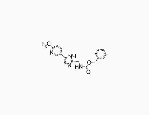 O=C(NCc1ncc(-c2ccc(C(F)(F)F)nc2)[nH]1)OCc1ccccc1